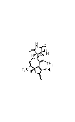 CC1=C2C3=C(C)[C@H]4O[C@]3(CC[C@H](C)[C@H]2CC1=O)[C@@H]1C(=O)NC(=O)[C@H]41